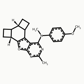 COc1ccc(N(C)c2nc(C)nc3oc4c(c23)C2CC[C@H]2C2CC[C@@H]42)cc1